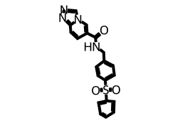 O=C(NCc1ccc(S(=O)(=O)c2ccccc2)cc1)c1ccc2nncn2c1